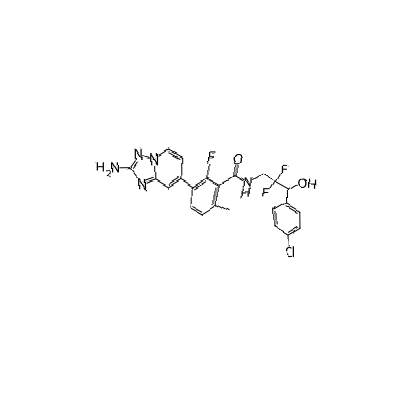 Cc1ccc(-c2ccn3nc(N)nc3c2)c(F)c1C(=O)NCC(F)(F)C(O)c1ccc(Cl)cc1